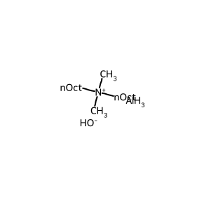 CCCCCCCC[N+](C)(C)CCCCCCCC.[AlH3].[OH-]